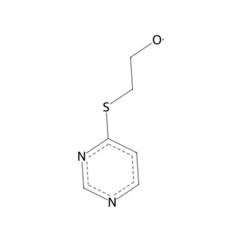 [O]CCSc1ccncn1